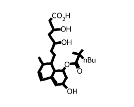 CCCCC(C)(C)C(=O)OC1CC(O)C=C2C=CC(C)C(CCC(O)CC(O)CC(=O)O)C21